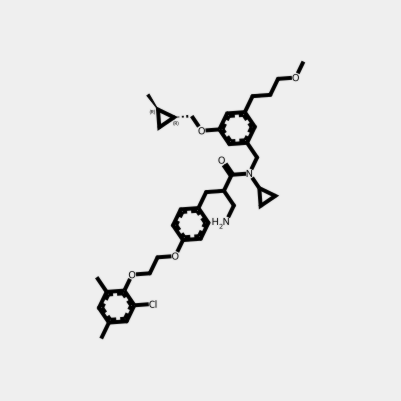 COCCCc1cc(CN(C(=O)C(CN)Cc2ccc(OCCOc3c(C)cc(C)cc3Cl)cc2)C2CC2)cc(OC[C@@H]2C[C@H]2C)c1